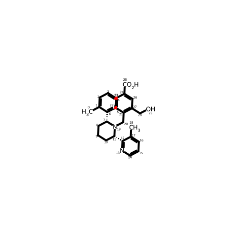 Cc1cccnc1[C@H]1CCC[C@@H](c2ncccc2C)N1Cc1ccc(C(=O)O)cc1CO